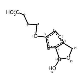 O=C(O)CCCOc1ccc2c(c1)B(O)OC2